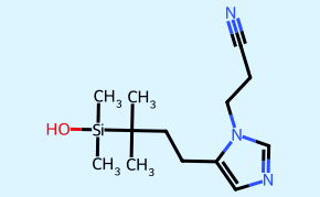 CC(C)(CCc1cncn1CCC#N)[Si](C)(C)O